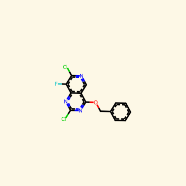 Fc1c(Cl)ncc2c(OCc3ccccc3)nc(Cl)nc12